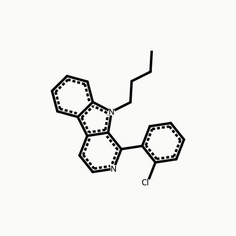 CCCCn1c2ccccc2c2ccnc(-c3ccccc3Cl)c21